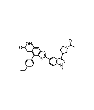 CCc1ccc(-c2c(CC(=O)O)c(C)cc3nc(-c4ccc5c(c4)c(C4CCN(C(C)=O)C4)nn5C)sc23)cc1